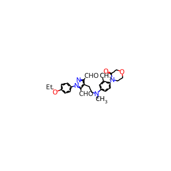 CCOc1ccc(-n2nc(C=O)c(CCN(C)c3ccc(N4CCOCC4=O)c(C)c3)c2C=O)cc1